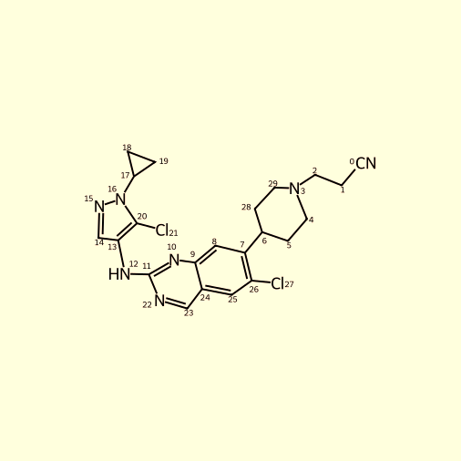 N#CCCN1CCC(c2cc3nc(Nc4cnn(C5CC5)c4Cl)ncc3cc2Cl)CC1